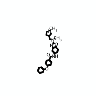 CN1CCC(CN(C)c2nc3cc(NC(=O)c4ccc(Oc5ccccc5)cc4)ccc3o2)C1